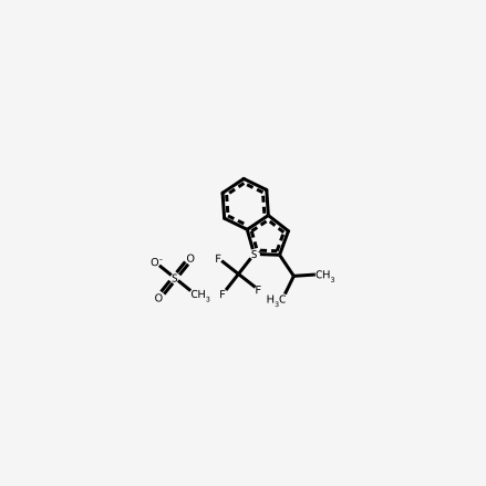 CC(C)c1cc2ccccc2[s+]1C(F)(F)F.CS(=O)(=O)[O-]